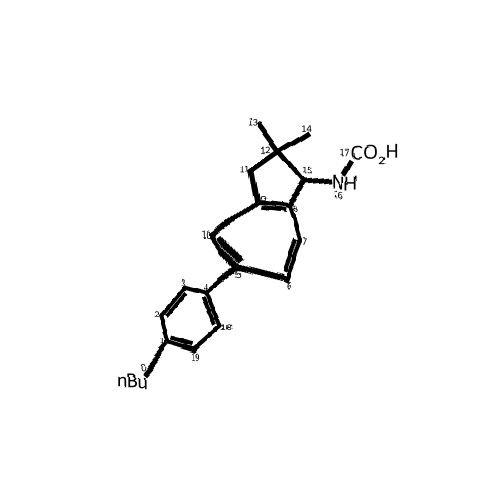 CCCCc1ccc(-c2ccc3c(c2)CC(C)(C)C3NC(=O)O)cc1